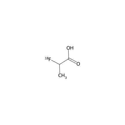 CC([18F])C(=O)O